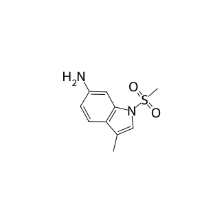 Cc1cn(S(C)(=O)=O)c2cc(N)ccc12